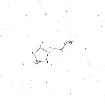 C1CCSC1.CCCCI